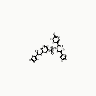 CC1=NC=C(C(=O)N(CC(=O)c2cccs2)NC(=O)C2=CN=CC(CC(=O)c3cccs3)C2)CC1